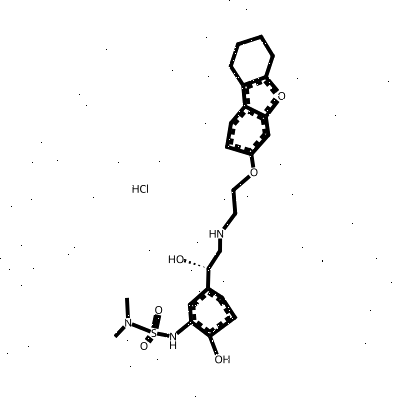 CN(C)S(=O)(=O)Nc1cc([C@H](O)CNCCOc2ccc3c4c(oc3c2)CCCC4)ccc1O.Cl